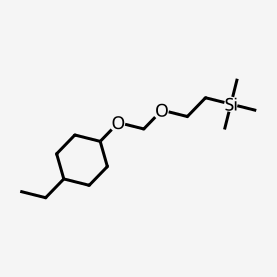 CCC1CCC(OCOCC[Si](C)(C)C)CC1